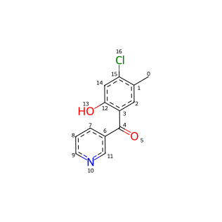 Cc1cc(C(=O)c2cccnc2)c(O)cc1Cl